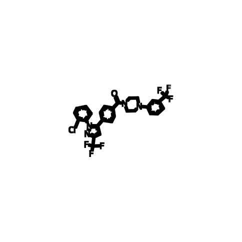 O=C(c1ccc(-c2cc(C(F)(F)F)nn2-c2ccccc2Cl)cc1)N1CCN(c2cccc(C(F)(F)F)c2)CC1